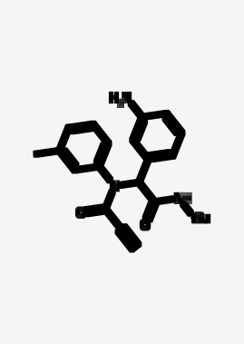 C#CC(=O)N(c1cccc(C)c1)C(C(=O)NC(C)(C)C)c1cccc(N)c1